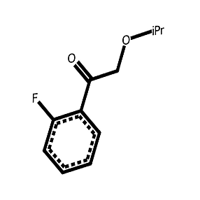 CC(C)OCC(=O)c1ccccc1F